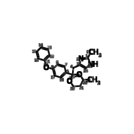 Cc1nc(CC2(c3ccc(Oc4ccccc4)cc3)OCCC(C)O2)c[nH]1